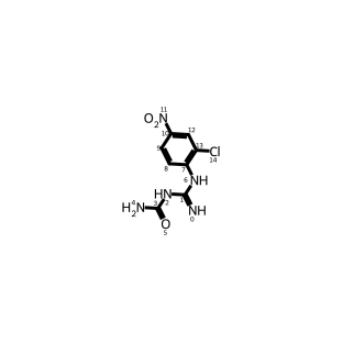 N=C(NC(N)=O)Nc1ccc([N+](=O)[O-])cc1Cl